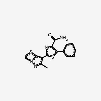 Cc1nn2ccsc2c1-c1nc(C(N)=O)c(-c2ccccc2)s1